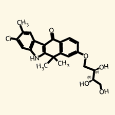 Cc1cc2c3c([nH]c2cc1Cl)C(C)(C)c1cc(OC[C@@H](O)[C@H](O)CO)ccc1C3=O